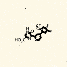 O=C(O)c1c[nH]c(=O)c(-c2cccc(-c3cc(F)c(F)cc3OC(F)(F)F)c2)n1